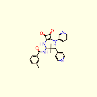 Cc1cccc(C(=O)NC(Nc2c(Nc3cccnc3)c(=O)c2=O)C(C)(C)Cc2ccncc2)c1